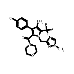 Cc1c(-c2ccc(Cl)cc2)c(C(=O)N2CCOCC2)n(Cc2ncn(C)n2)c1C(F)(F)F